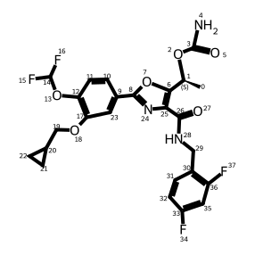 C[C@H](OC(N)=O)c1oc(-c2ccc(OC(F)F)c(OCC3CC3)c2)nc1C(=O)NCc1ccc(F)cc1F